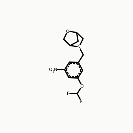 O=[N+]([O-])c1cc(CN2CC3CC2CO3)cc(OC(F)F)c1